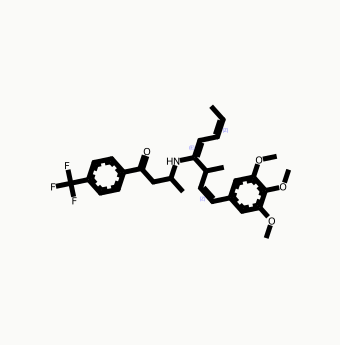 C/C=C\C=C(\NC(C)CC(=O)c1ccc(C(F)(F)F)cc1)C(C)/C=C\c1cc(OC)c(OC)c(OC)c1